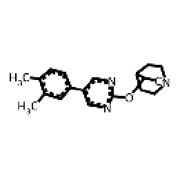 Cc1ccc(-c2cnc(OC3CN4CCC3CC4)nc2)cc1C